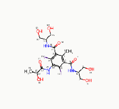 Cc1c(C(=O)NC(CO)CO)c(I)c(NC(=O)[C@H](C)O)c(I)c1C(=O)NC(CO)CO